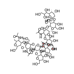 CC(=O)NC1C(O)[C@H](O[C@@H]2OC(CO)[C@H](O)[C@H](O[C@]3(OC=O)C[C@@H](O)[C@@H](C)C(C(O)C(O)CO)O3)C2O)[C@H](CO)O[C@H]1OC1[C@@H](OCC2O[C@@H](O[C@@H]3C(CO)O[C@@H](O[C@@H]4C(CO)O[C@@H](C)C(NC(C)=O)[C@H]4O)C(NC(C)=O)[C@H]3O)C(O)[C@@H](O[C@H]3OC(CO)[C@@H](O)C(O)C3O[C@@H]3OC(CO)[C@@H](O)[C@H](O)C3NC(C)=O)[C@@H]2O)OC(CO)[C@@H](O)[C@@H]1O